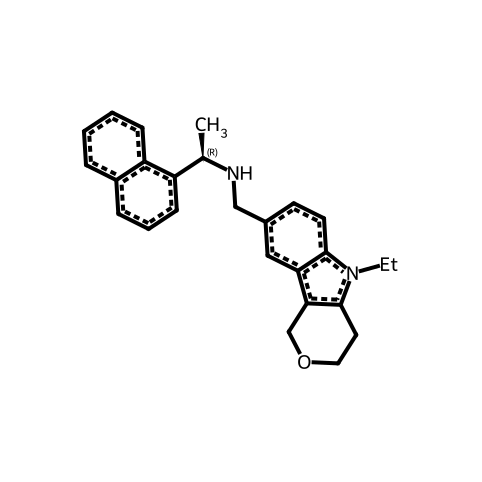 CCn1c2c(c3cc(CN[C@H](C)c4cccc5ccccc45)ccc31)COCC2